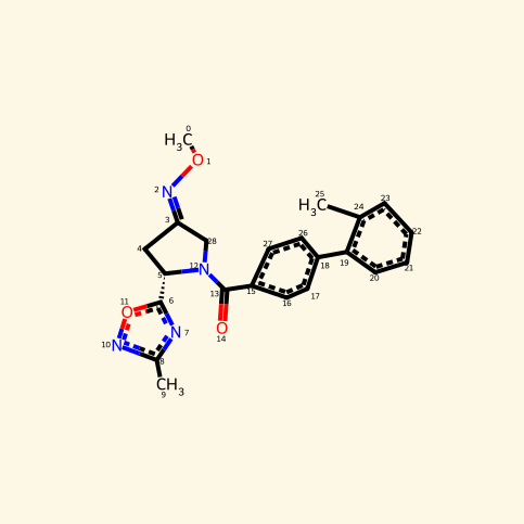 CON=C1C[C@@H](c2nc(C)no2)N(C(=O)c2ccc(-c3ccccc3C)cc2)C1